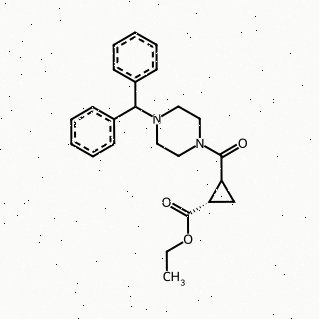 CCOC(=O)[C@H]1CC1C(=O)N1CCN(C(c2ccccc2)c2ccccc2)CC1